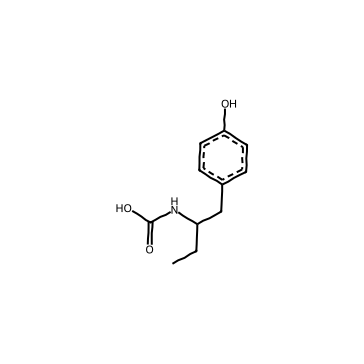 CCC(Cc1ccc(O)cc1)NC(=O)O